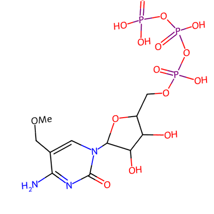 COCc1cn(C2OC(COP(=O)(O)OP(=O)(O)OP(=O)(O)O)C(O)C2O)c(=O)nc1N